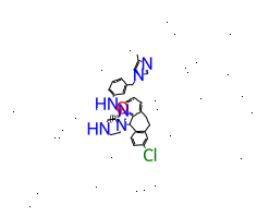 Cc1cn(Cc2cccc(NC(=O)[C@H]3CNCCN3C3c4ccc(Cl)cc4CCc4cccnc43)c2)cn1